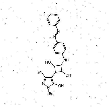 CC(C)c1nn(C(C)(C)C)c(O)c1C1C(O)C(Nc2ccc(N=Nc3ccccc3)cc2)C1O